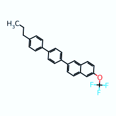 CCCc1ccc(-c2ccc(-c3ccc4cc(OC(F)(F)F)ccc4c3)cc2)cc1